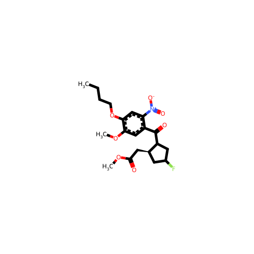 CCCCOc1cc([N+](=O)[O-])c(C(=O)C2CC(F)C[C@H]2CC(=O)OC)cc1OC